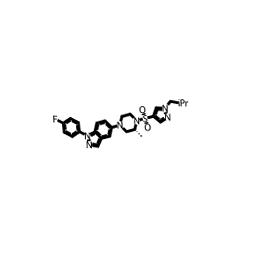 CC(C)Cn1cc(S(=O)(=O)N2CCN(c3ccc4c(cnn4-c4ccc(F)cc4)c3)C[C@H]2C)cn1